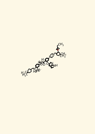 CCC12CC(C3=C(CN4CCN(c5ccc(C(=O)NS(=O)(=O)c6ccc(NCC7CCC(C)(C)CC7)c([N+](=O)[O-])c6)c(Oc6cnc7[nH]ccc7c6)c5)CC4)CCC(C)(C)C3)(C1)C2